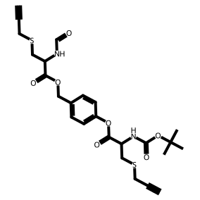 C#CCSCC(NC=O)C(=O)OCc1ccc(OC(=O)C(CSCC#C)NC(=O)OC(C)(C)C)cc1